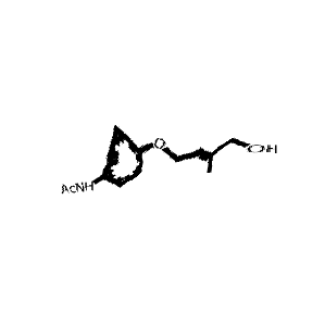 CC(=O)Nc1ccc(OC/C=C(\C)CO)cc1